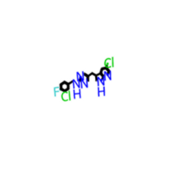 Fc1ccc(CNc2ncc(CC3CNc4ncc(Cl)cc43)cn2)cc1Cl